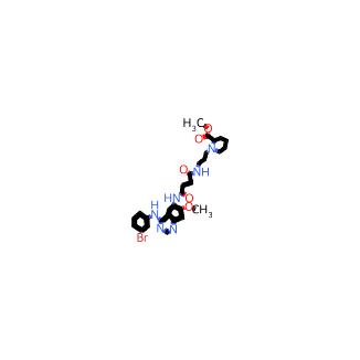 COC(=O)C1CCCCN1CCCNC(=O)C=CC(=O)Nc1cc2c(Nc3cccc(Br)c3)ncnc2cc1OC